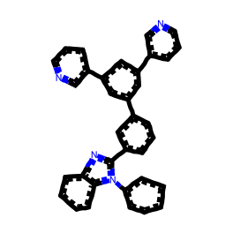 c1ccc(-n2c(-c3cccc(-c4cc(-c5cccnc5)cc(-c5cccnc5)c4)c3)nc3ccccc32)cc1